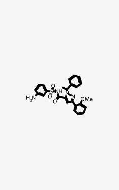 COc1ccccc1-c1cc(C(=O)NS(=O)(=O)c2cccc(N)c2)n(C(C)c2ccccc2)n1